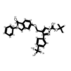 CC(C)(C)OC(=O)n1cc(COc2ccc3c(c2)CN(c2ccccc2)C3=O)c(-c2ccc(C(F)(F)F)cc2)n1